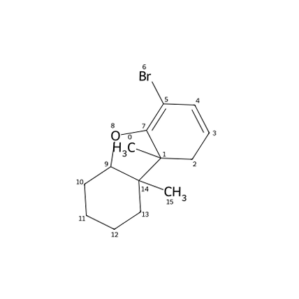 CC12CC=CC(Br)=C1OC1CCCCC12C